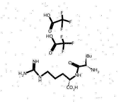 CC[C@H](C)[C@H](N)C(=O)N[C@@H](CCCNC(=N)N)C(=O)O.O=C(O)C(F)(F)F.O=C(O)C(F)(F)F